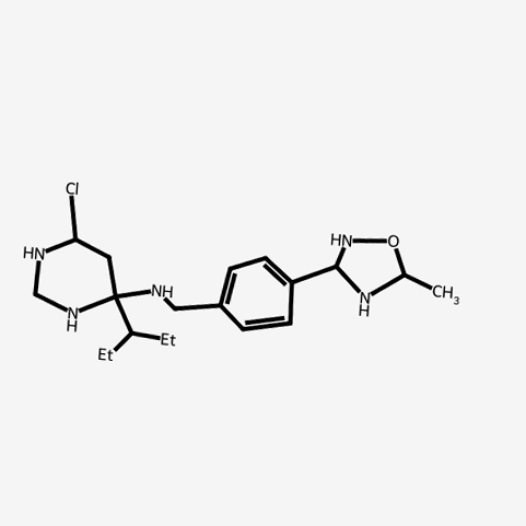 CCC(CC)C1(NCc2ccc(C3NOC(C)N3)cc2)CC(Cl)NCN1